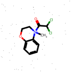 C[N+]1(C(=O)C(Cl)Cl)CCOc2ccccc21